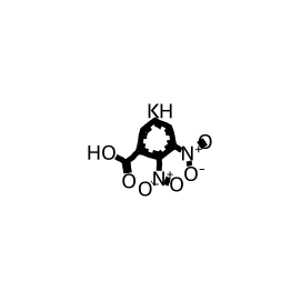 O=C(O)c1cccc([N+](=O)[O-])c1[N+](=O)[O-].[KH]